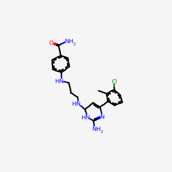 Cc1c(Cl)cccc1C1=CC(NCCCNc2ccc(C(N)=O)cc2)NC(N)=N1